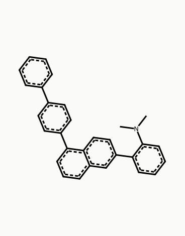 CN(C)c1ccccc1-c1ccc2c(-c3ccc(-c4ccccc4)cc3)cccc2c1